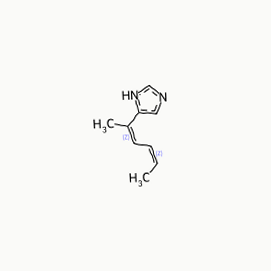 C/C=C\C=C(\C)c1cnc[nH]1